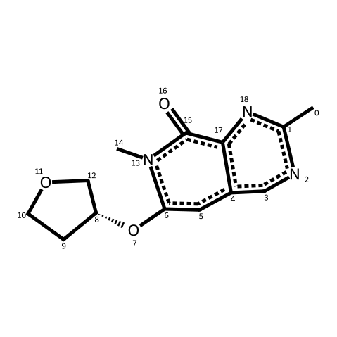 Cc1ncc2cc(O[C@@H]3CCOC3)n(C)c(=O)c2n1